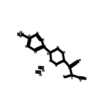 CON(C)C(=O)C1CCN(c2ccc(N)cc2)CC1.Cl.Cl